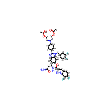 CC(=O)OCCN(CCOC(C)=O)c1ccc(-c2nc3cc(C(CC(N)=O)NC(=O)[C@@H](N)Cc4ccc(F)c(F)c4)ccc3n2Cc2ccc(F)c(F)c2)cc1